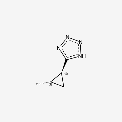 C[C@H]1C[C@@H]1c1nnn[nH]1